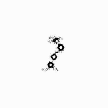 COc1ccc([C@H]2CC[C@H](CNc3cccc(B4OC(C)(C)C(C)(C)O4)c3)CC2)cc1C